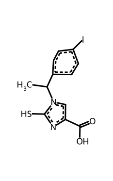 CC(c1ccc(I)cc1)n1cc(C(=O)O)nc1S